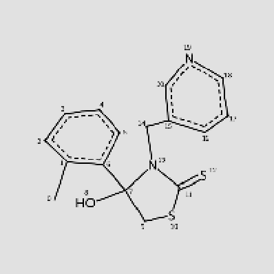 Cc1ccccc1C1(O)CSC(=S)N1Cc1cccnc1